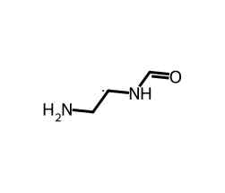 NC[CH]NC=O